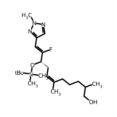 CC(=CC[C@H](O[Si](C)(C)C(C)(C)C)/C(F)=C/c1cnn(C)n1)CCCC(C)CO